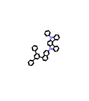 c1ccc(-c2cc(-c3ccccc3)cc(-c3cccc4cc(-n5c6ccccc6c6c7c8ccccc8n(-c8ccccc8)c7ccc65)ccc34)c2)cc1